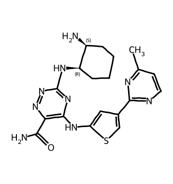 Cc1ccnc(-c2csc(Nc3nc(N[C@@H]4CCCC[C@@H]4N)nnc3C(N)=O)c2)n1